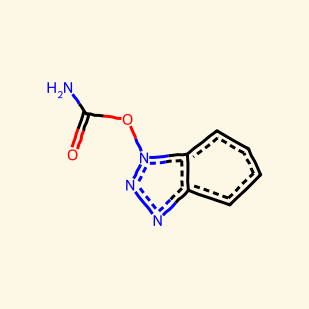 NC(=O)On1nnc2ccccc21